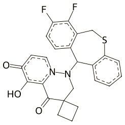 O=C1c2c(O)c(=O)ccn2N(C2c3ccccc3SCc3c2ccc(F)c3F)CC12CCC2